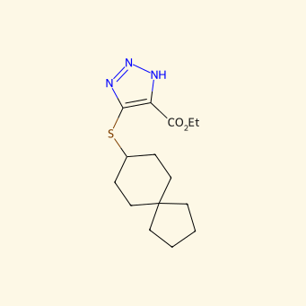 CCOC(=O)c1[nH]nnc1SC1CCC2(CCCC2)CC1